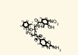 Cc1c(C(=O)N[C@@H](Cc2ccccc2)[C@H](O)CN(CC(C)C)S(=O)(=O)c2ccc3nc(N)oc3c2)ccc([N+](=O)[O-])c1O